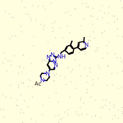 CC(=O)N1CCN(c2cnn3c(NCc4ccc(-c5ccnc(C)c5)c(C)c4)nnc3c2)CC1